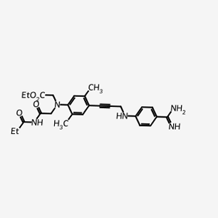 CCOC(=O)CN(CC(=O)NC(=O)CC)c1cc(C)c(C#CCNc2ccc(C(=N)N)cc2)cc1C